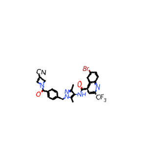 Cc1nn(Cc2ccc(C(=O)N3CC(C#N)C3)cc2)c(C)c1NC(=O)c1cc(C(F)(F)F)nc2ccc(Br)cc12